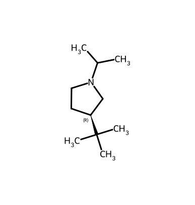 CC(C)N1CC[C@H](C(C)(C)C)C1